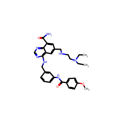 CCN(CC)CCNCc1cc(C(N)=O)c2ncnc(NCc3cccc(NC(=O)c4ccc(OC)cc4)c3)c2c1